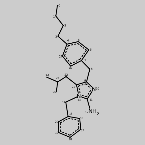 CCCCc1ccc(Cc2nc(N)n(Cc3ccccc3)c2CC(C)C)cc1